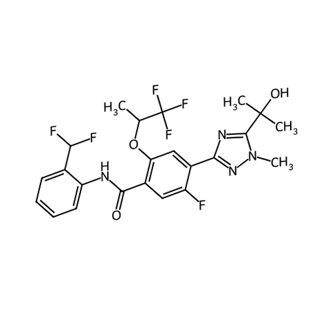 CC(Oc1cc(-c2nc(C(C)(C)O)n(C)n2)c(F)cc1C(=O)Nc1ccccc1C(F)F)C(F)(F)F